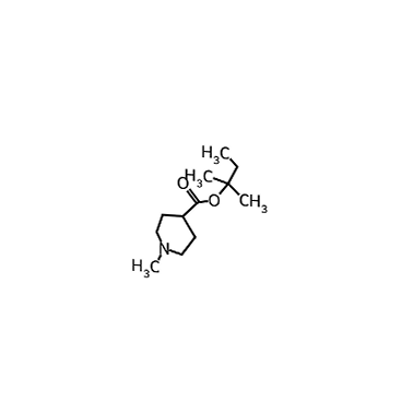 CCC(C)(C)OC(=O)C1CCN(C)CC1